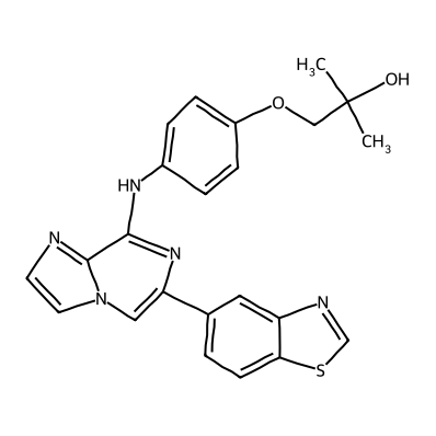 CC(C)(O)COc1ccc(Nc2nc(-c3ccc4scnc4c3)cn3ccnc23)cc1